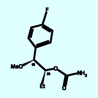 CC[C@@H](OC(N)=O)[C@H](OC)c1ccc(F)cc1